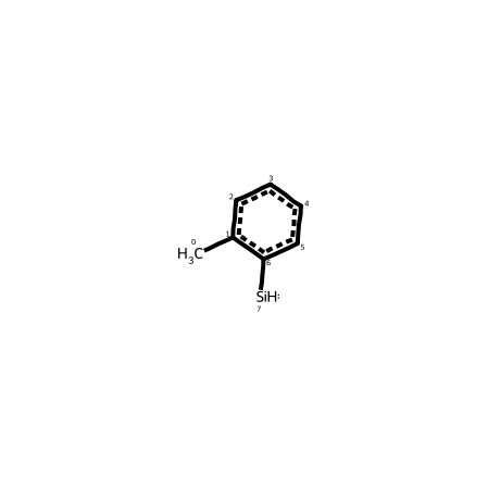 Cc1ccccc1[SiH]